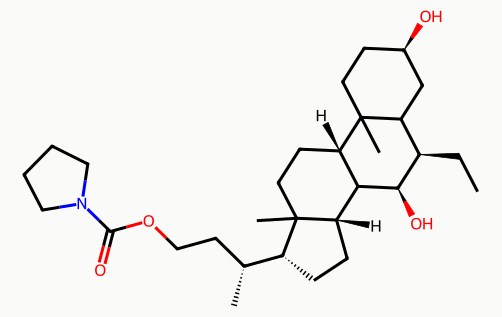 CC[C@@H]1C2C[C@H](O)CCC2(C)[C@H]2CCC3(C)[C@@H]([C@H](C)CCOC(=O)N4CCCC4)CC[C@H]3C2[C@@H]1O